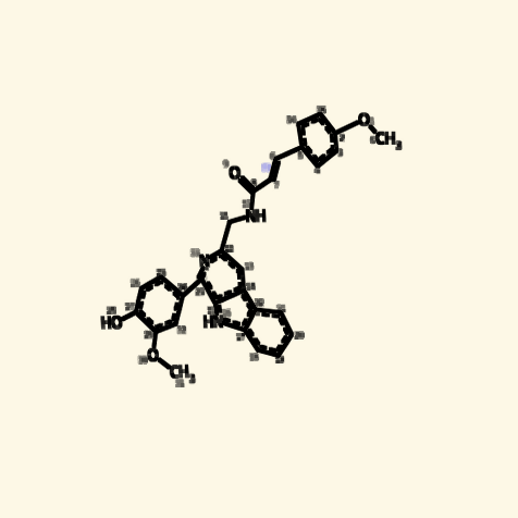 COc1ccc(/C=C/C(=O)NCc2cc3c([nH]c4ccccc43)c(-c3ccc(O)c(OC)c3)n2)cc1